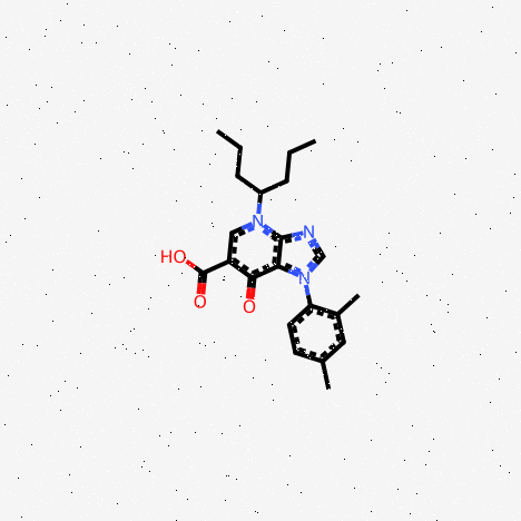 CCCC(CCC)n1cc(C(=O)O)c(=O)c2c1ncn2-c1ccc(C)cc1C